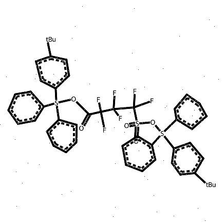 CC(C)(C)c1ccc(S(OC(=O)C(F)(F)C(F)(F)C(F)(F)S(=O)(=O)OS(c2ccccc2)(c2ccccc2)c2ccc(C(C)(C)C)cc2)(c2ccccc2)c2ccccc2)cc1